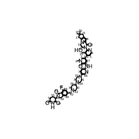 Cn1cc(-c2ccnc(N3CCn4c(cc5c4CC(C)(C)C5)C3=O)c2CO)cc(Nc2ccc(N3CCN(C4CCN(Cc5cc(F)c6c(c5)CN(C5CCC(=O)NC5=O)C6=O)CC4)CC3)cn2)c1=O